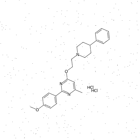 COc1ccc(-c2nc(C)cc(OCCN3CCC(c4ccccc4)CC3)n2)cc1.Cl.Cl